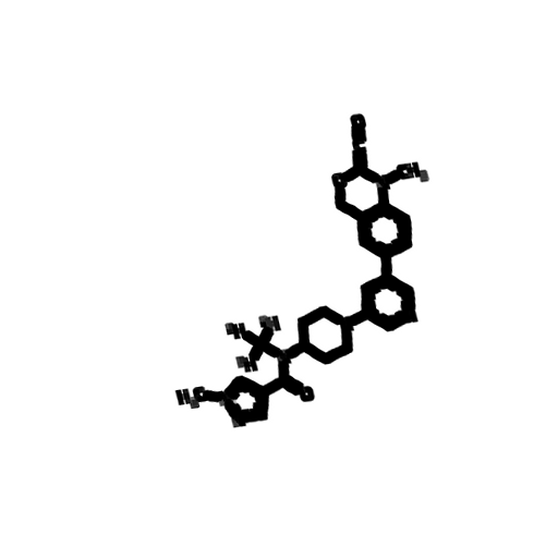 [2H]C([2H])([2H])N(C(=O)c1cnn(C)c1)C1CCN(c2cncc(-c3ccc4c(c3)COC(=C=O)N4C)c2)CC1